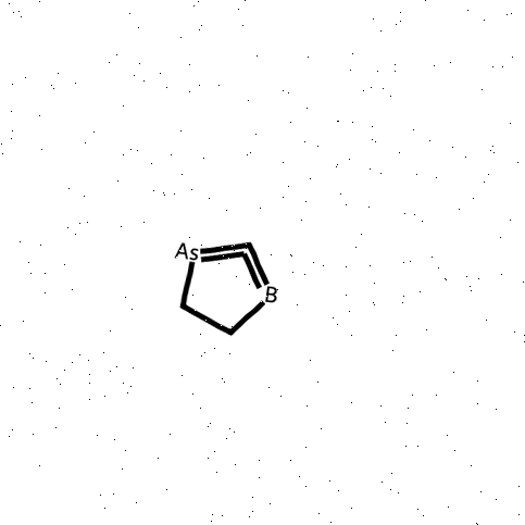 B1=C=[As]CC1